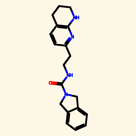 O=C(NCCc1ccc2c(n1)NCCC2)N1Cc2ccccc2C1